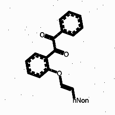 CCCCCCCCCC=COc1ccccc1C(=O)C(=O)c1ccccc1